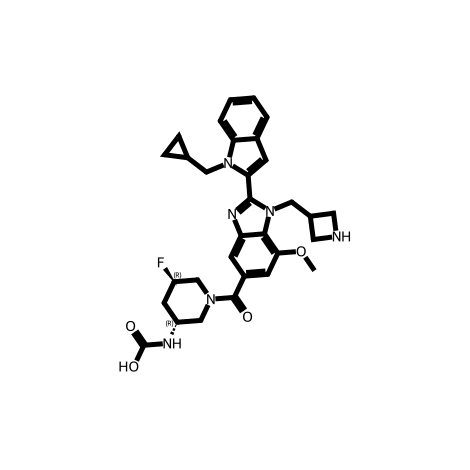 COc1cc(C(=O)N2C[C@H](F)C[C@@H](NC(=O)O)C2)cc2nc(-c3cc4ccccc4n3CC3CC3)n(CC3CNC3)c12